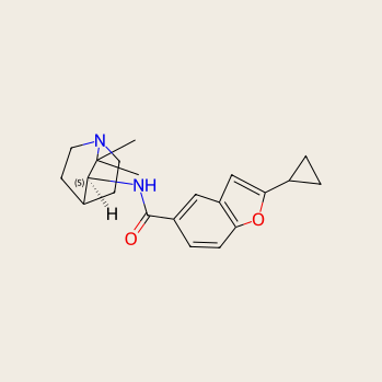 CC1(C)[C@@H](NC(=O)c2ccc3oc(C4CC4)cc3c2)C2CCN1CC2